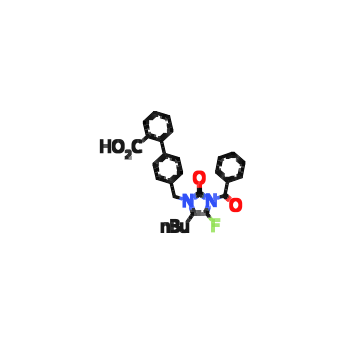 CCCCc1c(F)n(C(=O)c2ccccc2)c(=O)n1Cc1ccc(-c2ccccc2C(=O)O)cc1